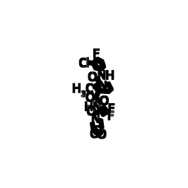 Cc1c(C(=O)C(=O)NC2(C(=O)N3CCS(=O)(=O)CC3)CC(F)(F)C2)c2n(c1C(=O)Nc1ccc(F)c(Cl)c1)CCC2